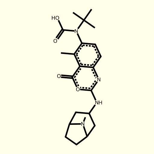 Cc1c(N(C(=O)O)C(C)(C)C)ccc2nc(NC3CC4CCC(C3)N4C)oc(=O)c12